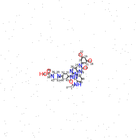 CCC(=O)Nc1ccc(CN2C(=O)N(c3cc(OC)cc(OC)c3)Cc3cnc(Nc4ccc(N5CCN(CC(=O)O)CC5)cc4)nc32)cc1